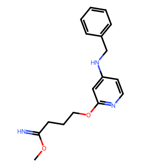 COC(=N)CCCOc1cc(NCc2ccccc2)ccn1